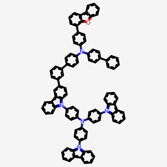 c1ccc(-c2ccc(N(c3ccc(-c4cccc(-c5ccc6c(c5)c5ccccc5n6-c5ccc(N(c6ccc(-n7c8ccccc8c8ccccc87)cc6)c6ccc(-n7c8ccccc8c8ccccc87)cc6)cc5)c4)cc3)c3ccc(-c4cccc5c4oc4ccccc45)cc3)cc2)cc1